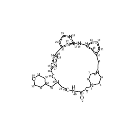 O=C1CN2CCN(CC2)Cc2cccc(c2)Nc2nccc(n2)-c2ccc(nc2)CN(CC2CCOCC2)CCN1